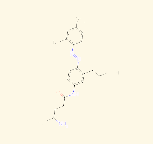 N#Cc1cc([N+](=O)[O-])ccc1N=Nc1ccc(NC(=O)CCC(N)C(=O)O)cc1CCC(=O)O